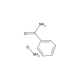 NC(=O)c1ccccc1.N[O]